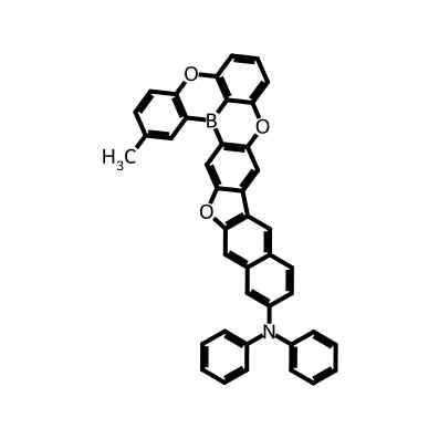 Cc1ccc2c(c1)B1c3cc4oc5cc6cc(N(c7ccccc7)c7ccccc7)ccc6cc5c4cc3Oc3cccc(c31)O2